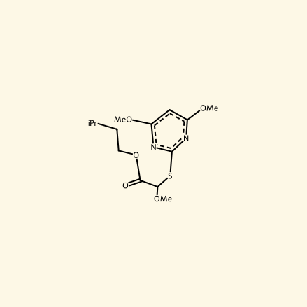 COc1cc(OC)nc(SC(OC)C(=O)OCCC(C)C)n1